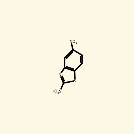 O=[N+]([O-])c1ccc2sc(S(=O)(=O)O)nc2c1